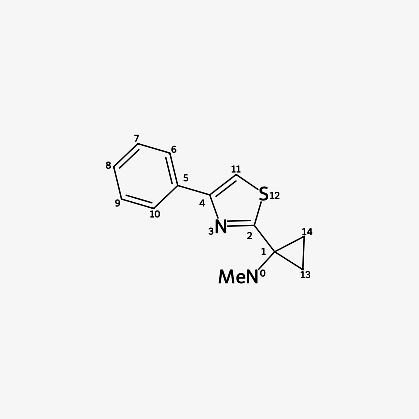 CNC1(c2nc(-c3ccccc3)cs2)CC1